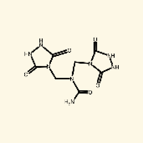 NC(=O)N(Cn1c(=O)[nH][nH]c1=O)Cn1c(=O)[nH][nH]c1=O